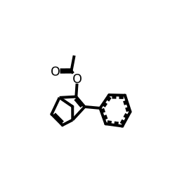 CC(=O)OC1=C(c2ccccc2)C2C=CC1C2